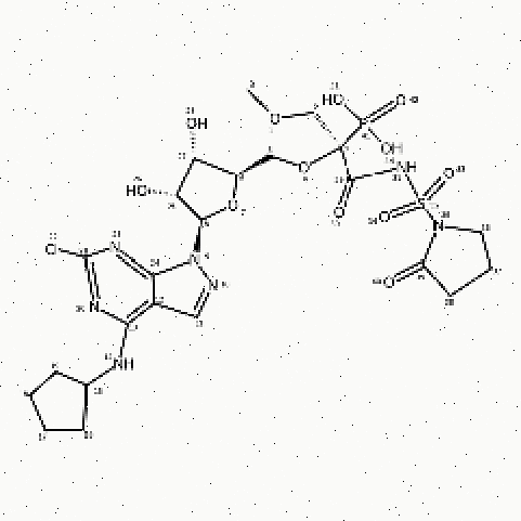 COC[C@@](OC[C@H]1O[C@@H](n2ncc3c(NC4CCCC4)nc(Cl)nc32)[C@H](O)[C@@H]1O)(C(=O)NS(=O)(=O)N1CCCC1=O)P(=O)(O)O